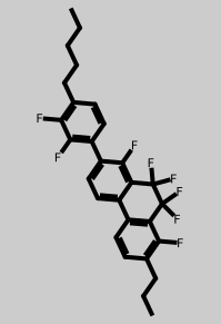 CCCCCc1ccc(-c2ccc3c(c2F)C(F)(F)C(F)(F)c2c-3ccc(CCC)c2F)c(F)c1F